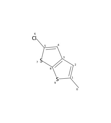 Cc1cc2cc(Cl)sc2s1